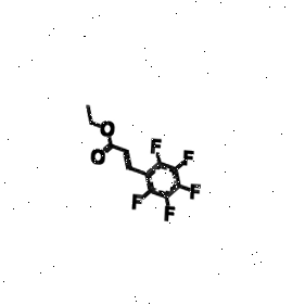 CCOC(=O)C=Cc1c(F)c(F)c(F)c(F)c1F